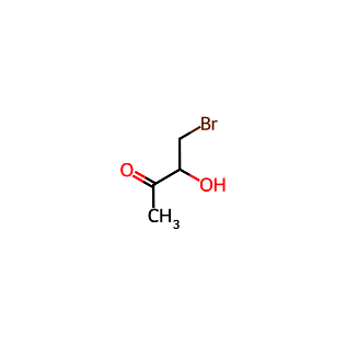 CC(=O)C(O)CBr